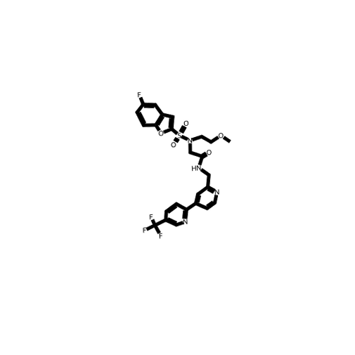 COCCN(CC(=O)NCc1cc(-c2ccc(C(F)(F)F)cn2)ccn1)S(=O)(=O)c1cc2cc(F)ccc2o1